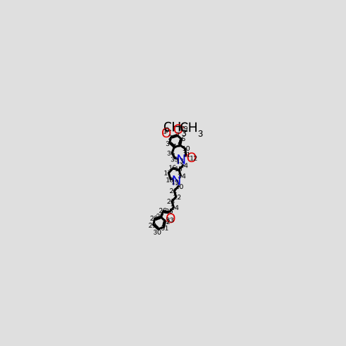 COc1cc2c(cc1OC)CC(=O)N(CC1CCCN(CCCCCc3cc4ccccc4o3)C1)CC2